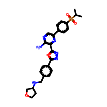 CC(C)S(=O)(=O)c1ccc(-c2cnc(N)c(-c3nnc(-c4ccc(CN[C@H]5CCOC5)cc4)o3)n2)cc1